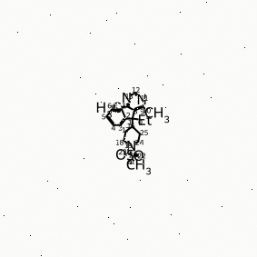 [CH2]CC(c1ccccc1)(c1c(C)ncnc1C)C1CCN(S(C)(=O)=O)CC1